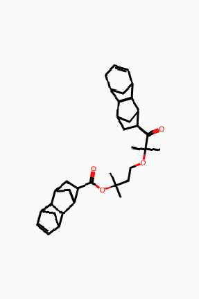 CC(C)(CCOC(C)(C)C(=O)C1CC2CC1C1C3C=CCC(C3)C21)OC(=O)C1CC2CC1C1C3C=CC(C3)C21